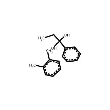 CCC(O)(O)c1ccccc1.Cc1ccccc1C